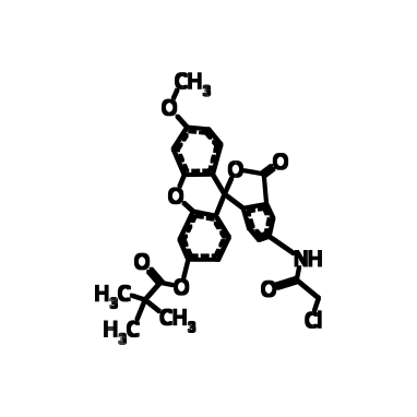 COc1ccc2c(c1)Oc1cc(OC(=O)C(C)(C)C)ccc1C21OC(=O)c2cc(NC(=O)CCl)ccc21